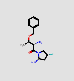 C[C@@H](OCc1ccccc1)[C@H](N)C(=O)N1C[C@@H](F)C[C@H]1N